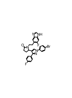 O=C1CCC(c2cn(-c3ccc(Br)cc3)nc2-c2ccc(F)cc2)N1CCc1cc2nc[nH]c2cc1F